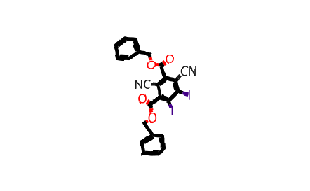 N#Cc1c(I)c(I)c(C(=O)OCc2ccccc2)c(C#N)c1C(=O)OCc1ccccc1